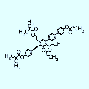 C=CC(=O)Oc1ccc(-c2ccc(-c3cc(CCOC(=O)C(=C)C)c(C#Cc4ccc(OC(=O)C(=C)C)cc4)c(OC(=O)C=C)c3CCCF)cc2)cc1